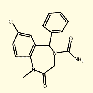 CN1C(=O)CN(C(N)=O)C(c2ccccc2)c2cc(Cl)ccc21